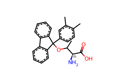 Cc1ccc(C2(OC(C)[C@H](N)C(=O)O)c3ccccc3-c3ccccc32)cc1C